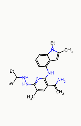 C=C(N)c1cc(C)c(NNC(CC)C(C)C)nc1Nc1cccc2c1cc(C)n2CC